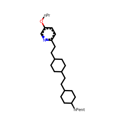 CCCCCC1CCC(CCC2CCC(CCc3ccc(OCCC)cn3)CC2)CC1